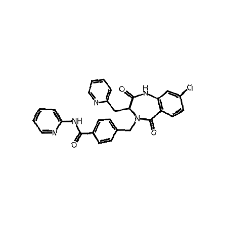 O=C(Nc1ccccn1)c1ccc(CN2C(=O)c3ccc(Cl)cc3NC(=O)C2Cc2ccccn2)cc1